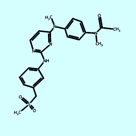 CC(=O)N(C)c1ccc(N(C)c2ccnc(Nc3cccc(CS(C)(=O)=O)c3)n2)cc1